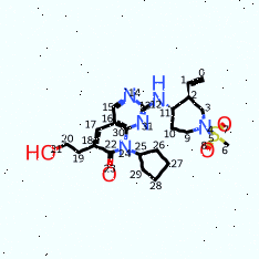 C=C[C@H]1CN(S(C)(=O)=O)CC[C@@H]1Nc1ncc2cc(CCO)c(=O)n(C3CCCC3)c2n1